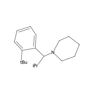 CC(C)C(c1ccccc1C(C)(C)C)N1CCCCC1